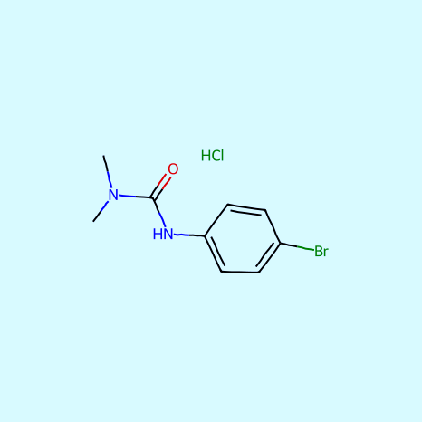 CN(C)C(=O)Nc1ccc(Br)cc1.Cl